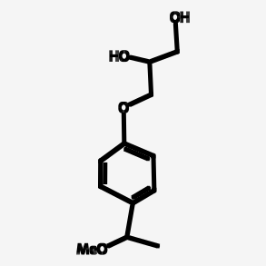 COC(C)c1ccc(OCC(O)CO)cc1